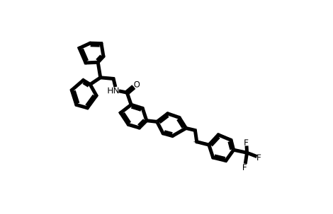 O=C(NCC(c1ccccc1)c1ccccc1)c1cccc(-c2ccc(C[CH]c3ccc(C(F)(F)F)cc3)cc2)c1